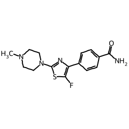 CN1CCN(c2nc(-c3ccc(C(N)=O)cc3)c(F)s2)CC1